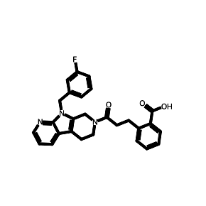 O=C(O)c1ccccc1CCC(=O)N1CCc2c(n(Cc3cccc(F)c3)c3ncccc23)C1